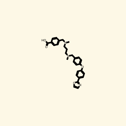 CN(CCCN(C)Cc1ccc(C(=O)O)cc1)Cc1ccc(Oc2ccc(-c3ncco3)cc2)cc1